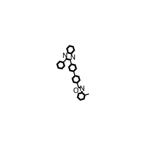 Cc1cccc2oc(-c3ccc(-c4ccc(-c5nc6ccccc6nc5-c5ccccc5)cc4)cc3)nc12